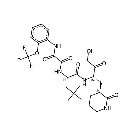 CC(C)(C)C[C@H](NC(=O)C(=O)Nc1ccccc1OC(F)(F)F)C(=O)N[C@@H](C[C@@H]1CCCNC1=O)C(=O)CO